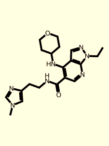 CCn1ncc2c(NC3CCOCC3)c(C(=O)NCCc3cn(C)cn3)cnc21